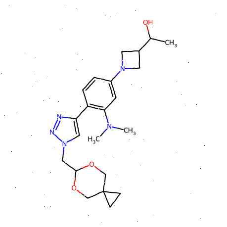 CC(O)C1CN(c2ccc(-c3cn(CC4OCC5(CC5)CO4)nn3)c(N(C)C)c2)C1